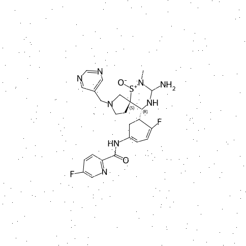 CN1C(N)N[C@H](C2CC(NC(=O)c3ccc(F)cn3)=CC=C2F)[C@@]2(CCN(Cc3cncnc3)C2)[S+]1[O-]